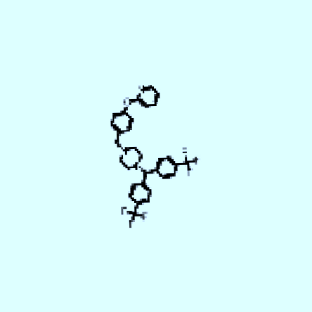 FC(F)(F)c1ccc(C(c2ccc(C(F)(F)F)cc2)N2CCN(Cc3ccc(Oc4ccccn4)cc3)CC2)cc1